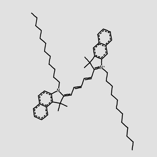 CCCCCCCCCCCCN1\C(=C/C=C/C=C/C2=[N+](CCCCCCCCCCCC)c3cc4ccccc4cc3C2(C)C)C(C)(C)c2c1ccc1ccccc21